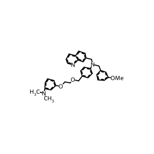 COc1cccc(CN(Cc2ccc3cccnc3c2)c2ccc(COCCOc3cccc(N(C)C)c3)cc2)c1